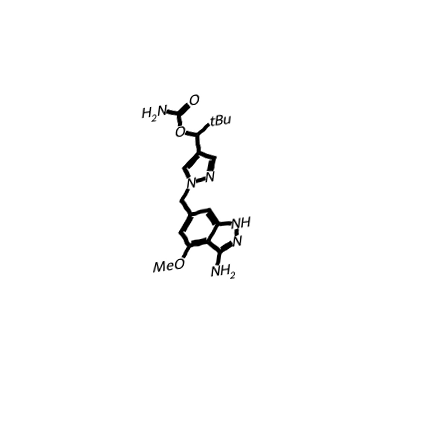 COc1cc(Cn2cc(C(OC(N)=O)C(C)(C)C)cn2)cc2[nH]nc(N)c12